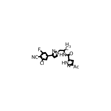 CC(=O)c1cc(C(=O)NC(C)Cn2ccc(-c3cc(F)c(C#N)c(Cl)c3)n2)[nH]n1